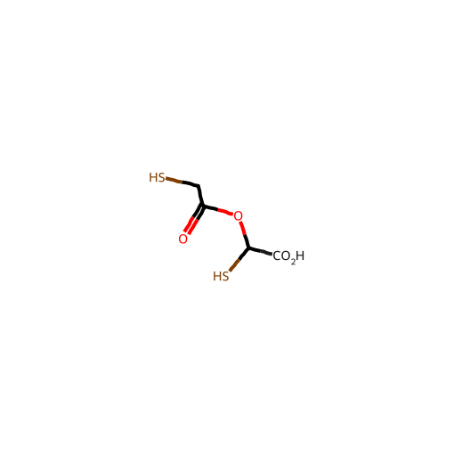 O=C(CS)OC(S)C(=O)O